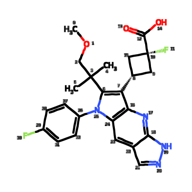 COCC(C)(C)c1c([C@H]2C[C@](F)(C(=O)O)C2)c2nc3[nH]ncc3cc2n1-c1ccc(F)cc1